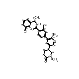 C[C@@H](NC(=O)c1ccc(-c2cc(C3CCC(=O)N(C)C3)cnc2N)cc1F)c1cccc(Cl)c1